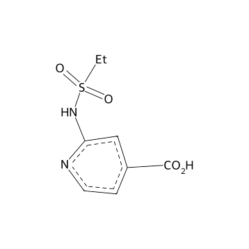 CCS(=O)(=O)Nc1cc(C(=O)O)ccn1